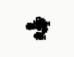 O=C(Cc1ccc(F)cc1)Nc1ccc(Cl)c(NC2=NC(=O)/C(=C/c3ccc4ncccc4c3)S2)c1.O=C(O)C(F)(F)F